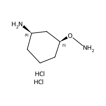 Cl.Cl.NO[C@H]1CCC[C@@H](N)C1